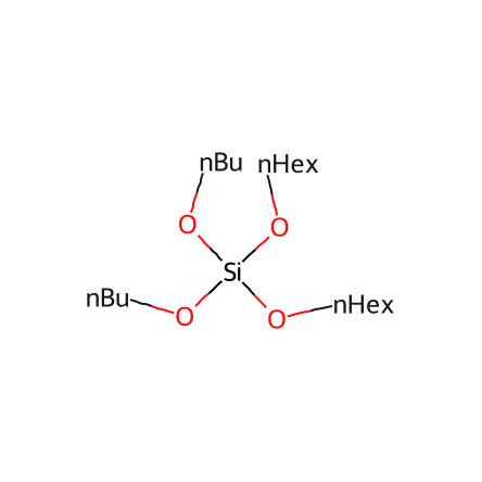 CCCCCCO[Si](OCCCC)(OCCCC)OCCCCCC